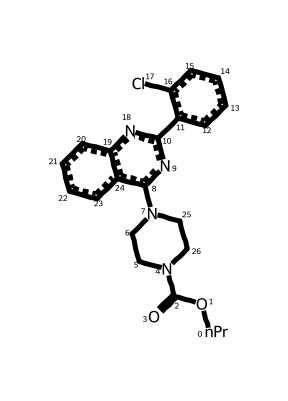 CCCOC(=O)N1CCN(c2nc(-c3ccccc3Cl)nc3ccccc23)CC1